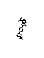 NC(=O)c1cccc2[nH]c(N3CCN(c4nccc(C(F)(F)F)n4)CC3)nc12